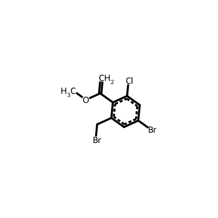 C=C(OC)c1c(Cl)cc(Br)cc1CBr